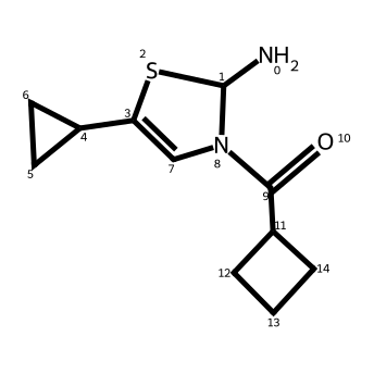 NC1SC(C2CC2)=CN1C(=O)C1CCC1